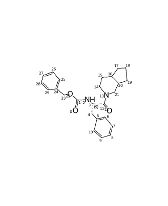 O=C(N[C@@H](Cc1ccccc1)C(=O)N1CCC2CCCC2C1)OCc1ccccc1